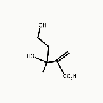 C=C(C(=O)O)C(C)(O)CCO